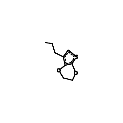 CCCc1csc2c1OCCO2